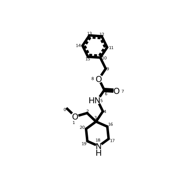 COCC1(CNC(=O)OCc2ccccc2)CCNCC1